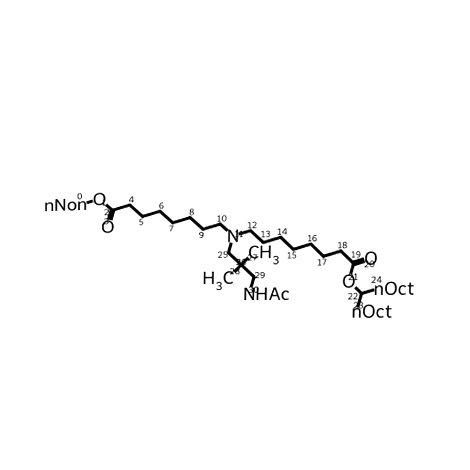 CCCCCCCCCOC(=O)CCCCCCCN(CCCCCCCC(=O)OC(CCCCCCCC)CCCCCCCC)CC(C)(C)CNC(C)=O